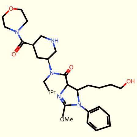 COC1=NC(C(=O)N(CC(C)C)[C@@H]2CNC[C@H](C(=O)N3CCOCC3)C2)C(CCCCO)N1c1ccccc1